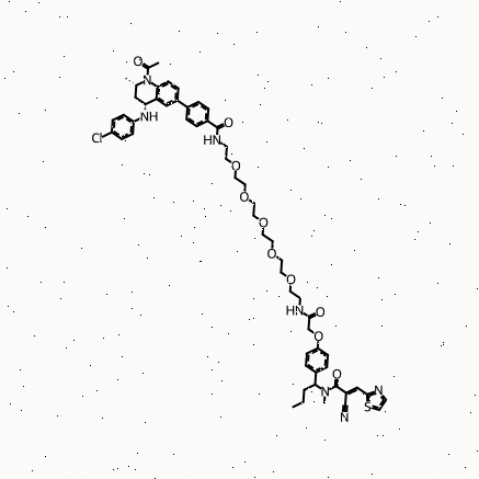 CCCC(c1ccc(OCC(=O)NCCOCCOCCOCCOCCOCCNC(=O)c2ccc(-c3ccc4c(c3)[C@H](Nc3ccc(Cl)cc3)C[C@H](C)N4C(C)=O)cc2)cc1)N(C)C(=O)/C(C#N)=C/c1nccs1